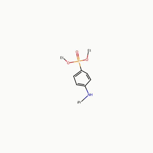 CCOP(=O)(OCC)c1ccc(NC(C)C)cc1